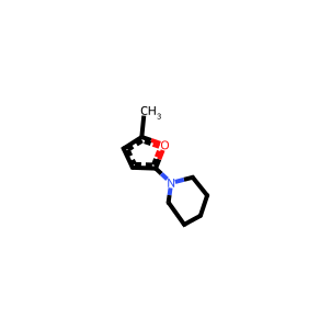 Cc1ccc(N2CCCCC2)o1